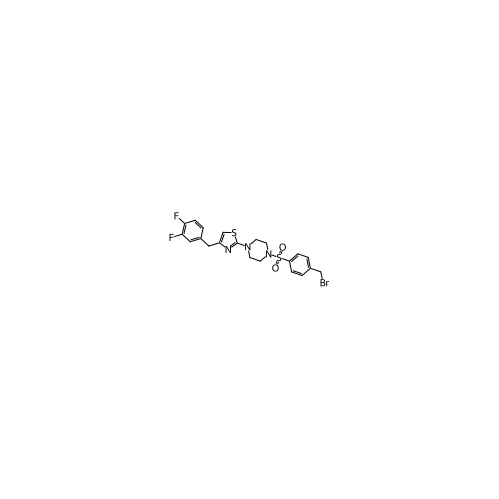 O=S(=O)(c1ccc(CBr)cc1)N1CCN(c2nc(Cc3ccc(F)c(F)c3)cs2)CC1